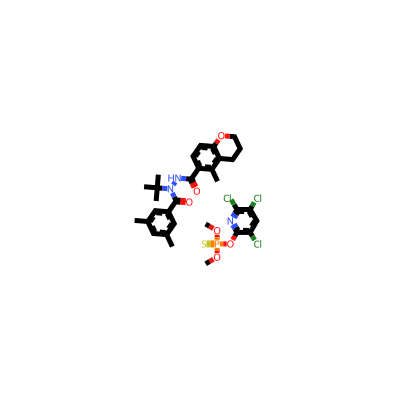 COP(=S)(OC)Oc1nc(Cl)c(Cl)cc1Cl.Cc1cc(C)cc(C(=O)N(NC(=O)c2ccc3c(c2C)CCCO3)C(C)(C)C)c1